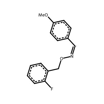 COc1ccc(/[C]=N\OCc2ccccc2F)cc1